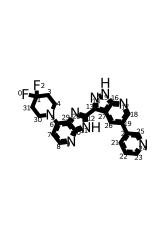 FC1(F)CCN(c2ccnc3[nH]c(-c4n[nH]c5ncc(-c6cccnc6)cc45)nc23)CC1